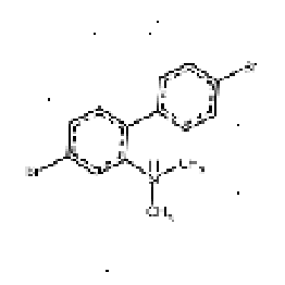 C[SiH](C)c1cc(Br)ccc1-c1ccc(Br)cc1